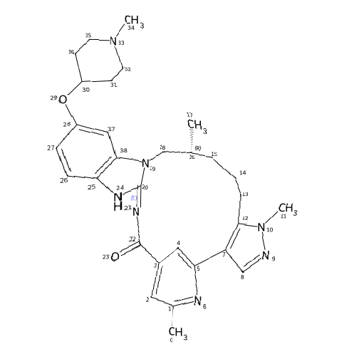 Cc1cc2cc(n1)-c1cnn(C)c1CCC[C@@H](C)CN1/C(=N/C2=O)Nc2ccc(OC3CCN(C)CC3)cc21